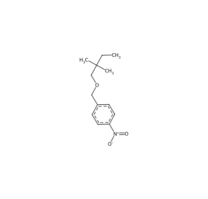 CCC(C)(C)COCc1ccc([N+](=O)[O-])cc1